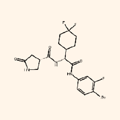 CC(C)(C)c1ccc(NC(=O)[C@H](NC(=O)[C@@H]2CNC(=O)C2)C2CCC(F)(F)CC2)cc1F